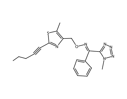 CCCC#Cc1nc(CO/N=C(\c2ccccc2)c2nnnn2C)c(C)s1